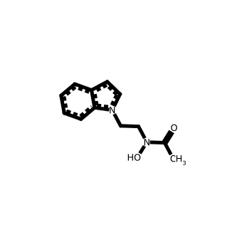 CC(=O)N(O)CCn1ccc2ccccc21